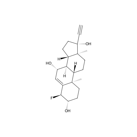 C#C[C@]1(O)CC[C@H]2[C@@H]3[C@@H](O)C=C4[C@H](F)[C@@H](O)CC[C@]4(C)[C@H]3CC[C@@]21C